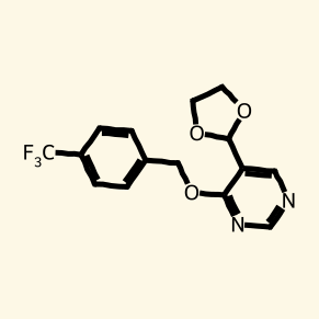 FC(F)(F)c1ccc(COc2ncncc2C2OCCO2)cc1